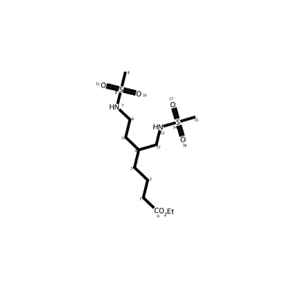 CCOC(=O)CCCC(CCNS(C)(=O)=O)CNS(C)(=O)=O